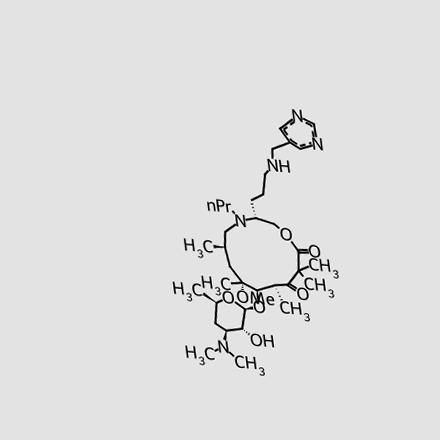 CCCN1C[C@H](C)C[C@@](C)(OC)[C@H](O[C@@H]2O[C@H](C)C[C@H](N(C)C)[C@H]2O)[C@@H](C)C(=O)C(C)(C)C(=O)OC[C@H]1CCCNCc1cncnc1